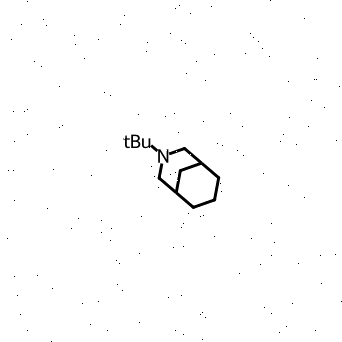 CC(C)(C)N1CC2CCCC(C2)C1